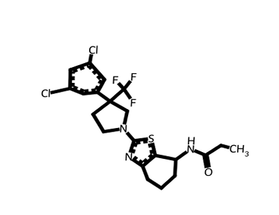 CCC(=O)NC1CCCc2nc(N3CCC(c4cc(Cl)cc(Cl)c4)(C(F)(F)F)C3)sc21